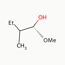 CCC(C)[C@H](O)OC